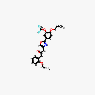 C=CCOc1ccc(-c2nc(CC(=O)Cc3ccccc3OCC)co2)cc1OC(F)F